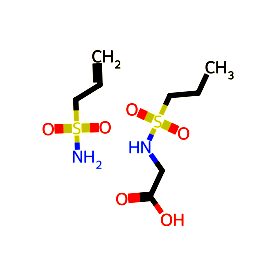 C=CCS(N)(=O)=O.CCCS(=O)(=O)NCC(=O)O